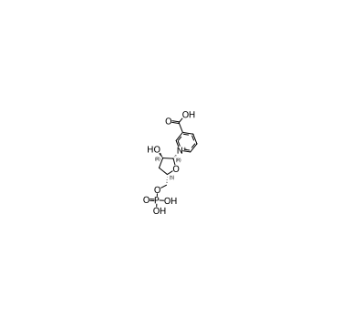 O=C(O)c1ccc[n+]([C@@H]2O[C@H](COP(=O)(O)O)C[C@H]2O)c1